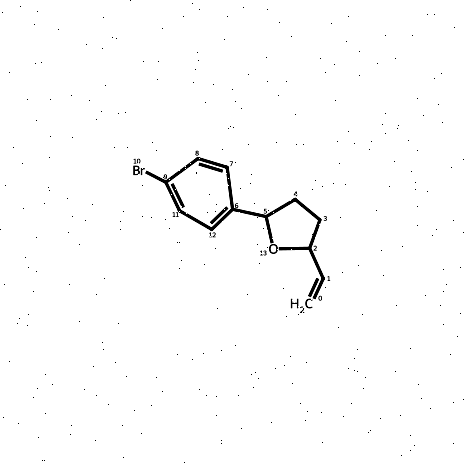 C=CC1CCC(c2ccc(Br)cc2)O1